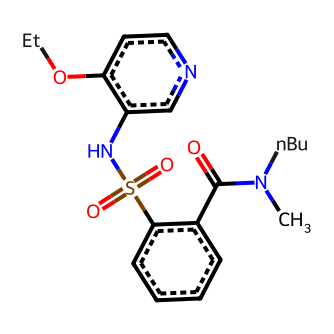 CCCCN(C)C(=O)c1ccccc1S(=O)(=O)Nc1cnccc1OCC